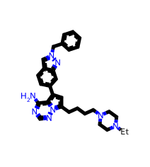 CCN1CCN(CCCCc2cc(-c3ccc4cn(Cc5ccccc5)nc4c3)c3c(N)ncnn23)CC1